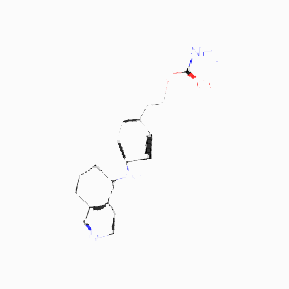 NC(=O)OCCc1ccc(NC2CCCc3cnccc32)cc1